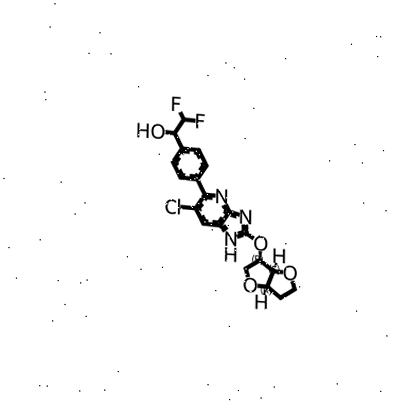 OC(c1ccc(-c2nc3nc(O[C@@H]4CO[C@@H]5CCO[C@@H]54)[nH]c3cc2Cl)cc1)C(F)F